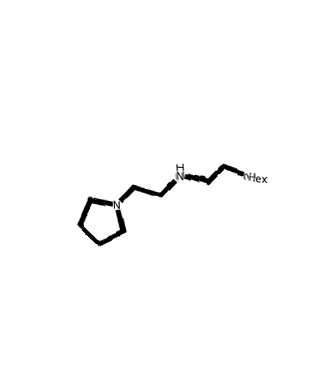 CCCCCCCCNCCN1CCCC1